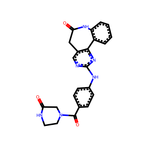 O=C1CN(C(=O)c2ccc(Nc3ncc4c(n3)-c3ccccc3NC(=O)C4)cc2)CCN1